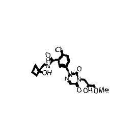 COCC(O)Cn1c(=O)cnn(-c2ccc(Cl)c(C(=O)NCC3(O)CCC3)c2)c1=O